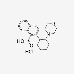 Cl.O=C(O)c1c(C2CCCCC2N2CCOCC2)ccc2ccccc12